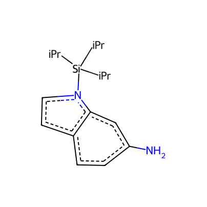 CC(C)[Si](C(C)C)(C(C)C)n1ccc2ccc(N)cc21